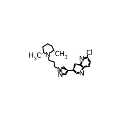 C[C@@H]1CCC[C@H](C)N1CCCn1cc(-c2cnc3ccc(Cl)nc3c2)cn1